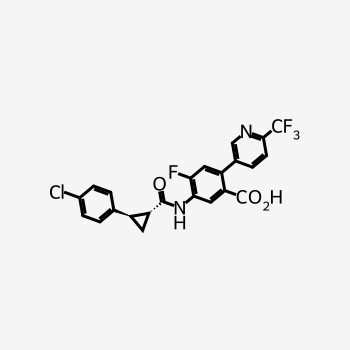 O=C(O)c1cc(NC(=O)[C@@H]2C[C@H]2c2ccc(Cl)cc2)c(F)cc1-c1ccc(C(F)(F)F)nc1